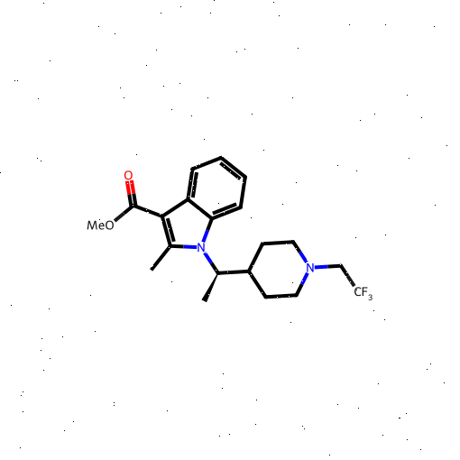 COC(=O)c1c(C)n([C@H](C)C2CCN(CC(F)(F)F)CC2)c2ccccc12